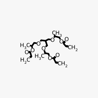 C=CC(=O)OCC(C)OCC(COCC(C)OC(=O)C=C)COC(C)COC(=O)C=C